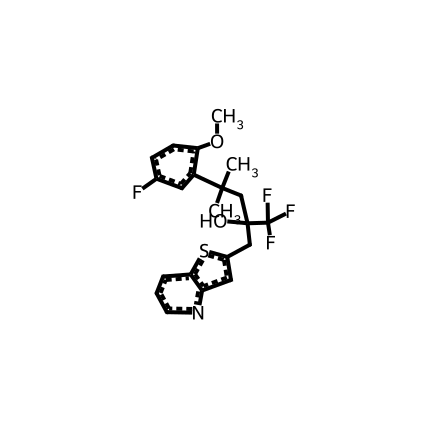 COc1ccc(F)cc1C(C)(C)CC(O)(Cc1cc2ncccc2s1)C(F)(F)F